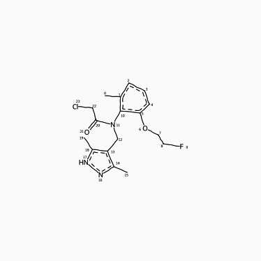 Cc1cccc(OCCF)c1N(Cc1c(C)n[nH]c1C)C(=O)CCl